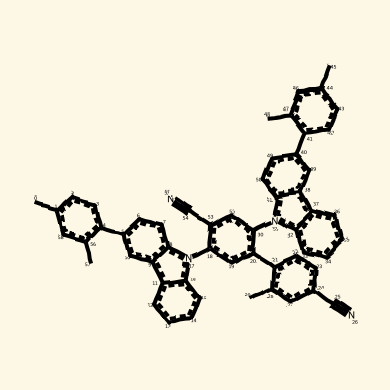 Cc1ccc(-c2ccc3c(c2)c2ccccc2n3-c2cc(-c3ccc(C#N)cc3C)c(-n3c4ccccc4c4cc(-c5ccc(C)cc5C)ccc43)cc2C#N)c(C)c1